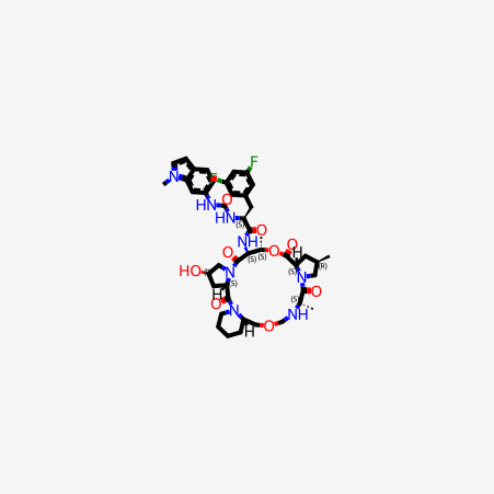 C[C@@H]1C[C@H]2C(=O)O[C@@H](C)[C@H](NC(=O)[C@H](Cc3cc(F)cc(F)c3)NC(=O)Nc3ccc4ccn(C)c4c3)C(=O)N3C[C@H](O)C[C@H]3C(=O)N3CCCC[C@H]3COCN[C@@H](C)C(=O)N2C1